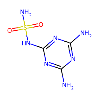 Nc1nc(N)nc(NS(N)(=O)=O)n1